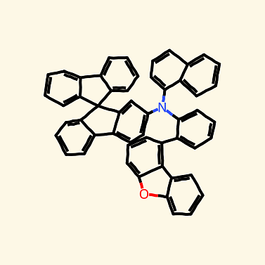 c1ccc(N(c2ccc3c(c2)C2(c4ccccc4-c4ccccc42)c2ccccc2-3)c2cccc3ccccc23)c(-c2cccc3oc4ccccc4c23)c1